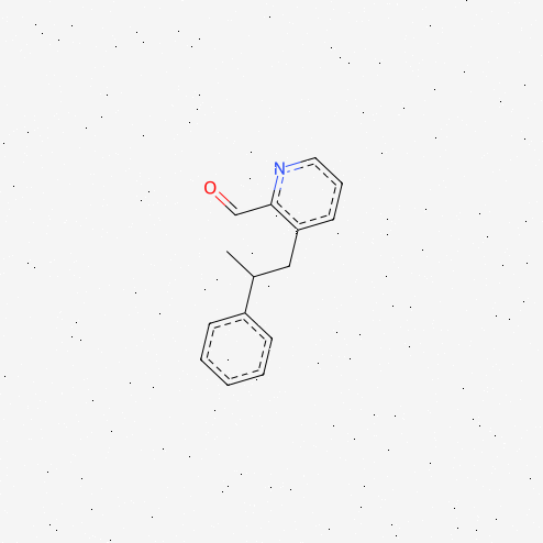 CC(Cc1cccnc1C=O)c1ccccc1